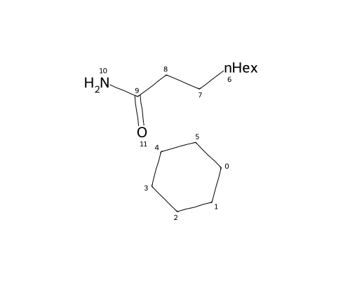 C1CCCCC1.CCCCCCCCC(N)=O